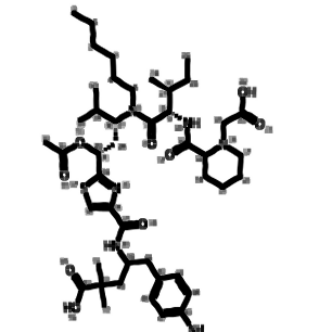 CCCCCCN(C(=O)[C@@H](NC(=O)C1CCCCN1CC(=O)O)[C@@H](C)CC)[C@H](C[C@@H](OC(C)=O)c1nc(C(=O)NC(Cc2ccc(N)cc2)CC(C)(C)C(=O)O)cs1)C(C)C